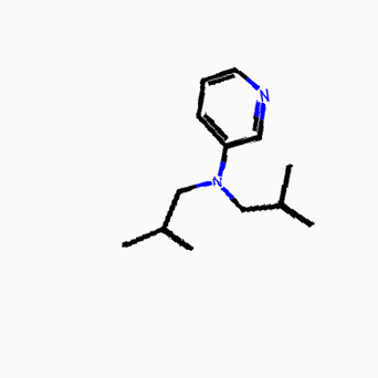 CC(C)CN(CC(C)C)c1cccnc1